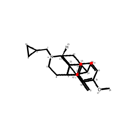 C=C1CC23CCN(CC4CC4)[C@H](Cc4ccc(OC)cc42)C3C2CC12